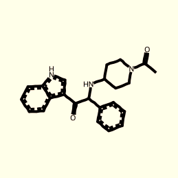 CC(=O)N1CCC(NC(C(=O)c2c[nH]c3ccccc23)c2ccccc2)CC1